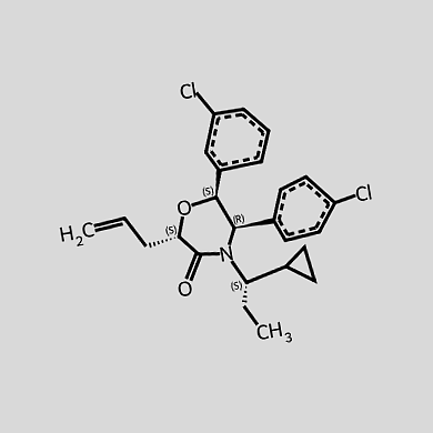 C=CC[C@@H]1O[C@@H](c2cccc(Cl)c2)[C@@H](c2ccc(Cl)cc2)N([C@@H](CC)C2CC2)C1=O